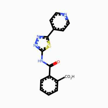 O=C(O)c1ccccc1C(=O)Nc1nnc(-c2ccncc2)s1